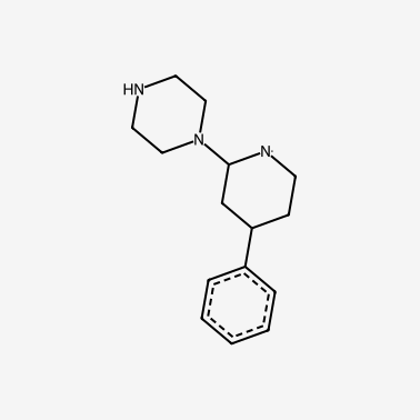 c1ccc(C2CC[N]C(N3CCNCC3)C2)cc1